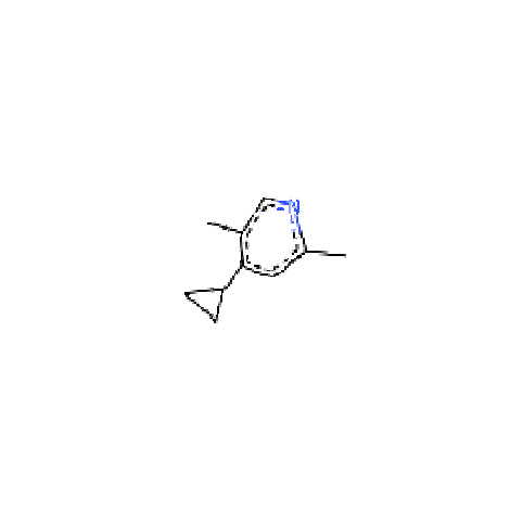 Cc1cc(C2CC2)c(C)cn1